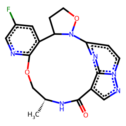 C[C@@H]1COc2ncc(F)cc2C2CCON2c2ccn3ncc(c3n2)C(=O)N1